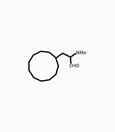 CNC(C=O)CC1CCCCCCCCCC1